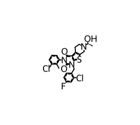 Cc1c(Cl)cccc1-n1c(=O)c2c3c(sc2n(Cc2ccc(F)cc2Cl)c1=O)CN([C@H](C)O)CC3